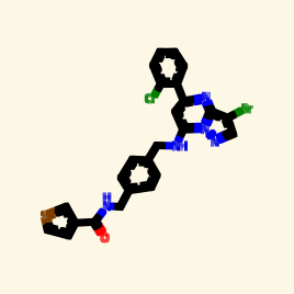 O=C(NCc1ccc(CNc2cc(-c3ccccc3Cl)nc3c(Br)cnn23)cc1)c1ccsc1